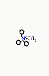 CC1C[N+](Cc2ccccc2)=C(c2ccccc2)c2ccccc21.[I-]